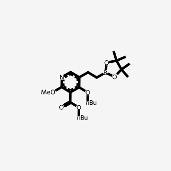 CCCCOC(=O)c1c(OC)ncc(CCB2OC(C)(C)C(C)(C)O2)c1OCCCC